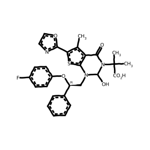 Cc1c(-c2ncco2)sc2c1C(=O)N(C(C)(C)C(=O)O)C(O)N2C[C@H](Oc1ccc(F)cc1)c1ccccc1